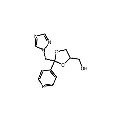 OCC1COC(Cn2cncn2)(c2ccncc2)O1